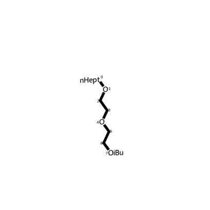 CCCCCCCOCCOCCOCC(C)C